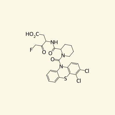 O=C(O)CC(NC(=O)C1CCCCN1C(=O)N1c2ccccc2Sc2c1ccc(Cl)c2Cl)C(=O)CF